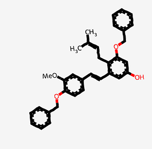 COc1cc(C=Cc2cc(O)cc(OCc3ccccc3)c2CC=C(C)C)ccc1OCc1ccccc1